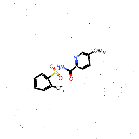 COc1ccc(C(=O)NS(=O)(=O)c2ccccc2C(F)(F)F)nc1